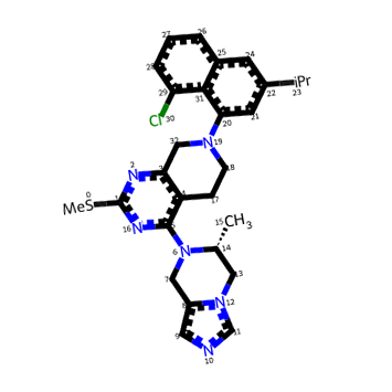 CSc1nc2c(c(N3Cc4cncn4C[C@H]3C)n1)CCN(c1cc(C(C)C)cc3cccc(Cl)c13)C2